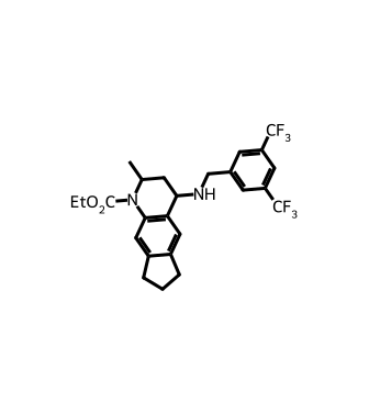 CCOC(=O)N1c2cc3c(cc2C(NCc2cc(C(F)(F)F)cc(C(F)(F)F)c2)CC1C)CCC3